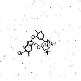 Cc1ccc(/C(N)=N/O)cc1Oc1cc2nc(Br)c(F)cc2n1COCC[Si](C)(C)C